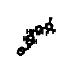 Fc1cc(F)c(F)c(-c2ccc(N[C@@H]3C[C@@H]4CN(C[C@@H]5CC6CCC5O6)C[C@@H]4C3)nn2)c1